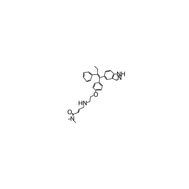 CC/C(=C(/c1ccc(OCCNCC=CC(=O)N(C)C)cc1)c1ccc2[nH]ncc2c1)c1ccccc1